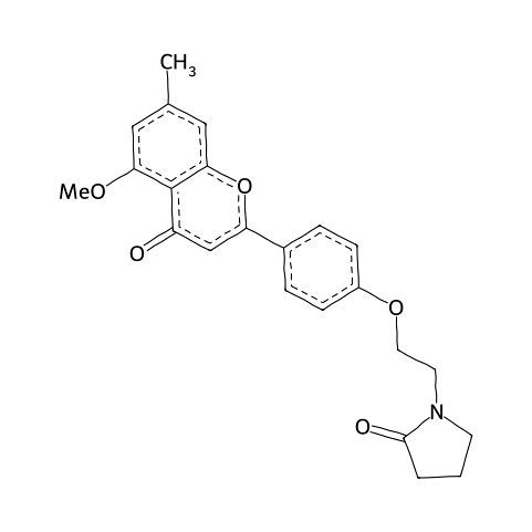 COc1cc(C)cc2oc(-c3ccc(OCCN4CCCC4=O)cc3)cc(=O)c12